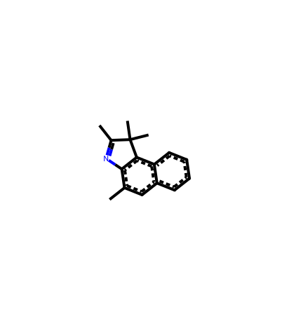 CC1=Nc2c(C)cc3ccccc3c2C1(C)C